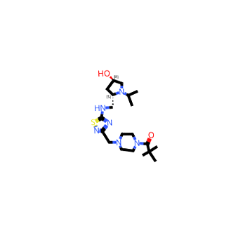 CC(C)N1C[C@H](O)C[C@H]1CNc1nc(CN2CCN(C(=O)C(C)(C)C)CC2)ns1